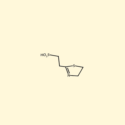 O=S(=O)(O)CCC1=NCCS1